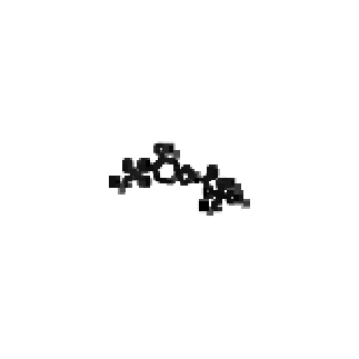 CC1CC2(CCC1OS(C)(=O)=O)CN(C(=O)OC(C)(C)C)C2